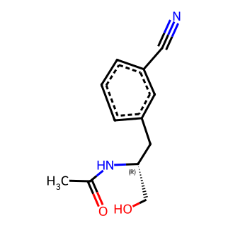 CC(=O)N[C@@H](CO)Cc1cccc(C#N)c1